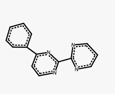 c1ccc(-c2ccnc(-c3ncccn3)n2)cc1